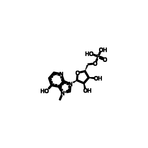 C[n+]1cn([C@@H]2O[C@H](COP(=O)(O)O)[C@@H](O)[C@H]2O)c2nccc(O)c21